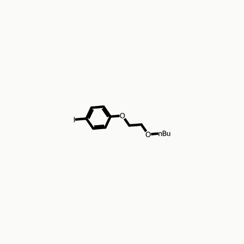 CCCCOCCOc1ccc(I)cc1